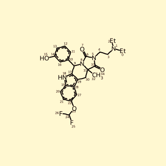 CCN(CC)CCN1C(=O)N2C(c3cccc(O)c3)c3[nH]c4ccc(OC(F)F)cc4c3CC2(C)C1=O